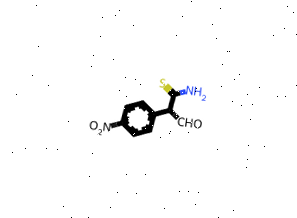 NC(=S)C(C=O)c1ccc([N+](=O)[O-])cc1